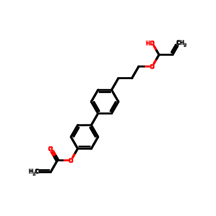 C=CC(=O)Oc1ccc(-c2ccc(CCCOC(O)C=C)cc2)cc1